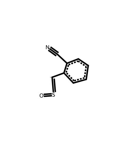 N#Cc1ccccc1[C]=S=O